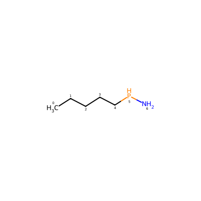 CCCCCPN